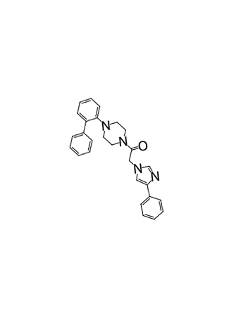 O=C(Cn1cnc(-c2ccccc2)c1)N1CCN(c2ccccc2-c2ccccc2)CC1